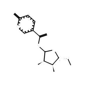 O=C(NC1O[C@H](CO)[C@@H](O)[C@H]1O)c1ccc(=O)[nH]c1